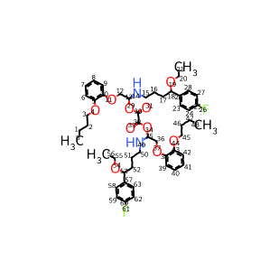 CCCCOc1ccccc1OCC(NCCCC(OCC)c1ccc(F)cc1)OC(=O)C(=O)OC(COc1ccccc1OCCCC)NCCCC(OCC)c1ccc(F)cc1